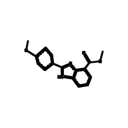 COC(=O)c1cccc2[nH]c(-c3ccc(OC)cc3)nc12